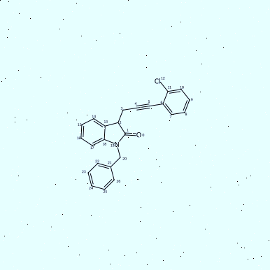 O=C1C(CC#Cc2ccccc2Cl)c2ccccc2N1Cc1ccccc1